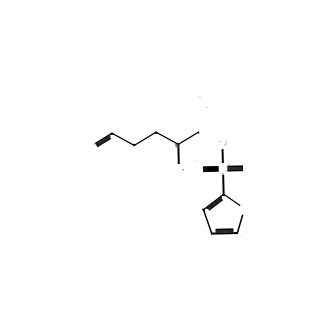 C=CCCC(O)[C@@H](NS(=O)(=O)c1cccs1)[C@@H](C)CC